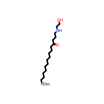 CCCCCCCCCCCCCCCCCCCCCC(=O)CCCNCCO